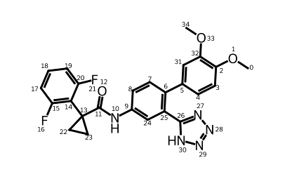 COc1ccc(-c2ccc(NC(=O)C3(c4c(F)cccc4F)CC3)cc2-c2nnn[nH]2)cc1OC